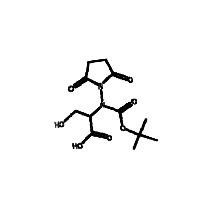 CC(C)(C)OC(=O)N(C(CO)C(=O)O)N1C(=O)CCC1=O